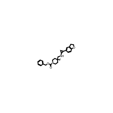 O=C(OCc1ccccc1)N1CCC(F)(CNC2CC2c2ccc3c(c2)CCO3)CC1